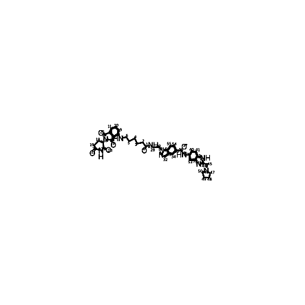 O=C(CCCCCNc1cccc2c1C(=O)N(C1CCC(=O)NC1=O)C2=O)NCCn1ncc2cc(C(=O)Nc3ccc4[nH]c(CN5CCCC5)nc4c3)ccc21